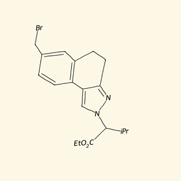 CCOC(=O)C(C(C)C)n1cc2c(n1)CCc1cc(CBr)ccc1-2